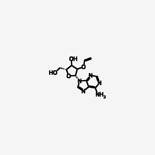 C=COC1C(O)[C@@H](CO)O[C@H]1n1cnc2c(N)ncnc21